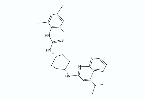 Cc1cc(C)c(NC(=S)N[C@H]2CC[C@@H](Nc3cc(N(C)C)c4ccccc4n3)CC2)c(C)c1